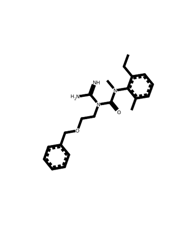 CCc1cccc(C)c1N(C)C(=O)N(CCOCc1ccccc1)C(=N)N